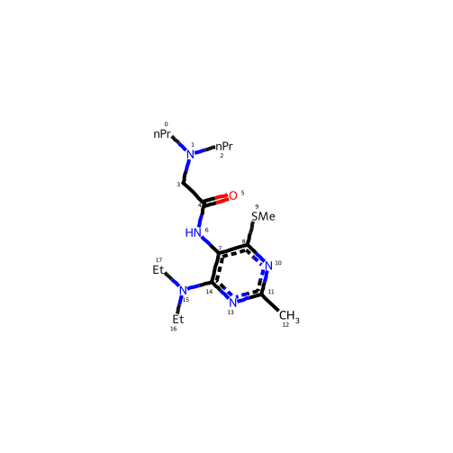 CCCN(CCC)CC(=O)Nc1c(SC)nc(C)nc1N(CC)CC